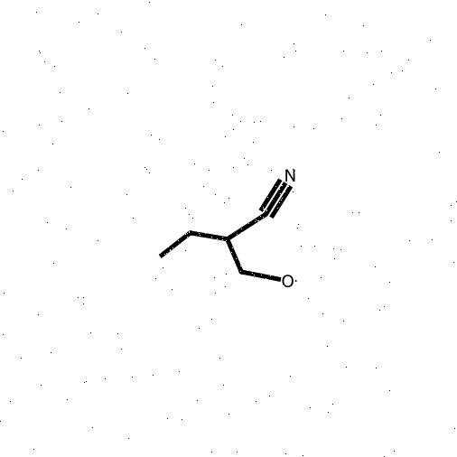 CCC(C#N)C[O]